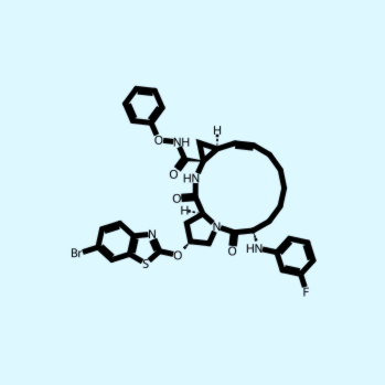 O=C1N[C@]2(C(=O)NOc3ccccc3)C[C@H]2/C=C\CCCCC[C@H](Nc2cccc(F)c2)C(=O)N2C[C@H](Oc3nc4ccc(Br)cc4s3)C[C@@H]12